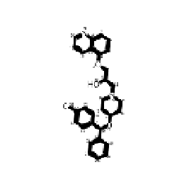 OC(COc1cccc2ncccc12)CN1CCC(OC(c2ccccc2)c2ccc(Cl)cc2)CC1